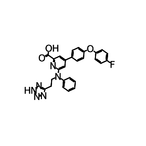 O=C(O)c1cc(-c2ccc(Oc3ccc(F)cc3)cc2)cc(N(CCc2nn[nH]n2)c2ccccc2)n1